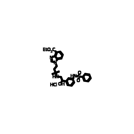 CCOC(=O)c1cccc2c1ncn2CCC(C)(C)NCC(O)c1cccc(NS(=O)(=O)c2ccccc2)c1.Cl